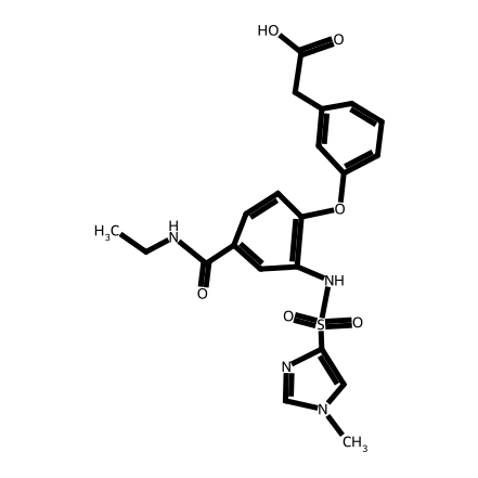 CCNC(=O)c1ccc(Oc2cccc(CC(=O)O)c2)c(NS(=O)(=O)c2cn(C)cn2)c1